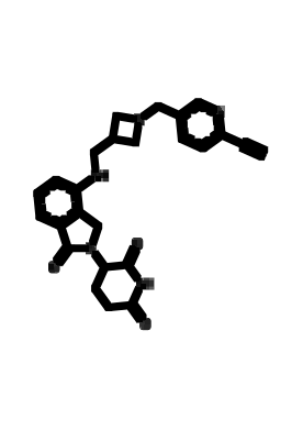 C#Cc1ccc(CN2CC(CNc3cccc4c3CN(C3CCC(=O)NC3=O)C4=O)C2)cn1